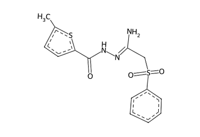 Cc1ccc(C(=O)NN=C(N)CS(=O)(=O)c2ccccc2)s1